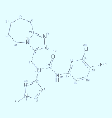 Cn1ccc(N(Cc2nnc3n2CCCCC3)C(=O)Nc2ccc(F)c(Cl)c2)n1